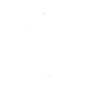 COC(=O)CCc1ccccc1C(=O)OC